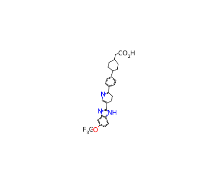 O=C(O)CC1CCC(c2ccc(C3=NC=C(c4nc5cc(OC(F)(F)F)ccc5[nH]4)CC3)cc2)CC1